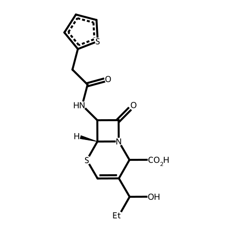 CCC(O)C1=CS[C@@H]2C(NC(=O)Cc3cccs3)C(=O)N2C1C(=O)O